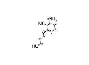 N#Cc1c(N)cccc1OCCCO